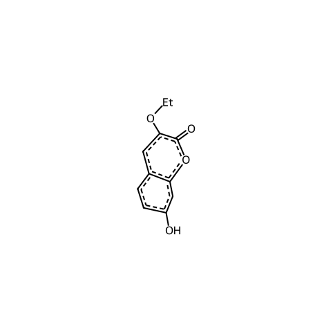 CCOc1cc2ccc(O)cc2oc1=O